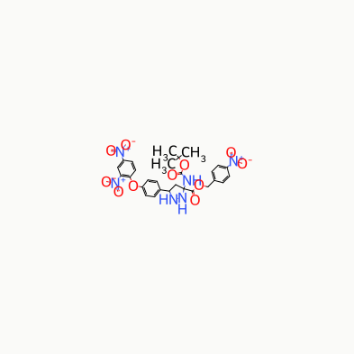 CC(C)(C)OC(=O)NC1(C(=O)OCc2ccc([N+](=O)[O-])cc2)CC(c2ccc(Oc3ccc([N+](=O)[O-])cc3[N+](=O)[O-])cc2)NN1